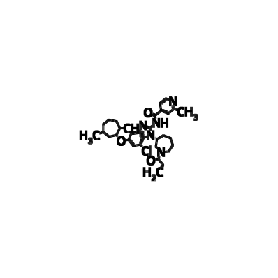 C=CC(=O)N1CCCC[C@@H](n2c(NC(=O)c3ccnc(C)c3)nc3cc(O[C@@H]4CC(C)CCCC4C)cc(Cl)c32)C1